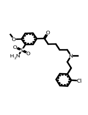 COc1ccc(C(=O)CCCCN(C)CCc2ccccc2Cl)cc1S(N)(=O)=O